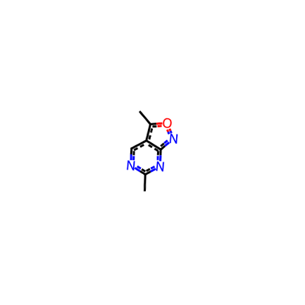 Cc1ncc2c(C)onc2n1